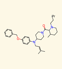 CC(C)=CCN(c1ccc(OCc2ccccc2)cc1)C1CCN(C(=O)C2C(C)CCCN2CCC(C)C)CC1